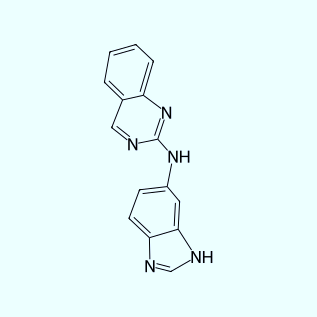 c1ccc2nc(Nc3ccc4nc[nH]c4c3)ncc2c1